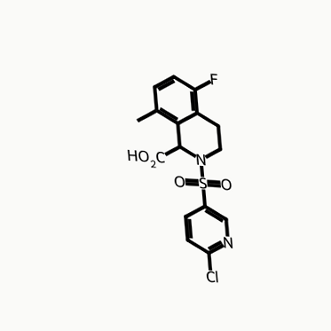 Cc1ccc(F)c2c1C(C(=O)O)N(S(=O)(=O)c1ccc(Cl)nc1)CC2